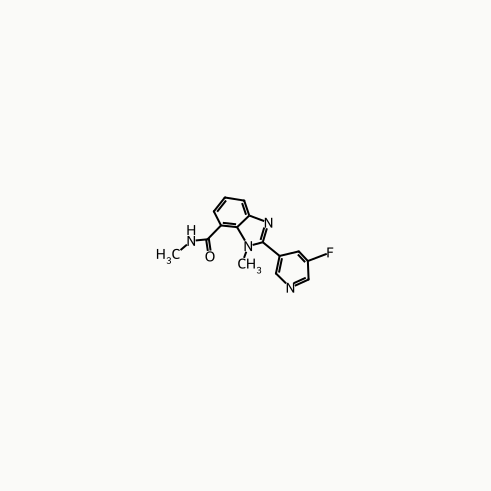 CNC(=O)c1cccc2nc(-c3cncc(F)c3)n(C)c12